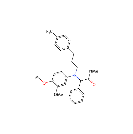 CNC(=O)C(c1ccccc1)N(CCCc1ccc(C(F)(F)F)cc1)c1ccc(OC(C)C)c(OC)c1